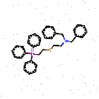 c1ccc(CN(CCSCC[PH](c2ccccc2)(c2ccccc2)c2ccccc2)Cc2ccccc2)cc1